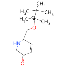 CC(C)(C)[Si](C)(C)OCC1C=CC(=O)CN1